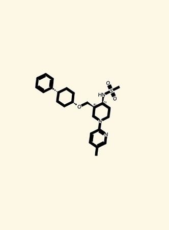 Cc1ccc(N2CC[C@H](NS(C)(=O)=O)[C@H](CO[C@H]3CC[C@@H](c4ccccc4)CC3)C2)nc1